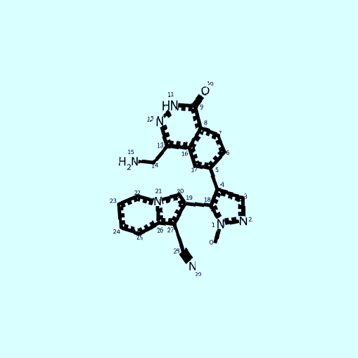 Cn1ncc(-c2ccc3c(=O)[nH]nc(CN)c3c2)c1-c1cn2ccccc2c1C#N